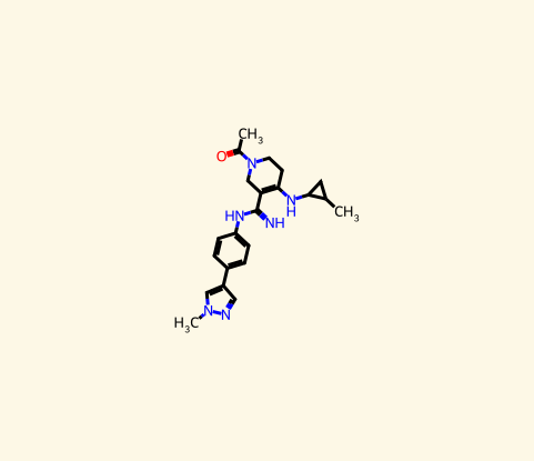 CC(=O)N1CCC(NC2CC2C)=C(C(=N)Nc2ccc(-c3cnn(C)c3)cc2)C1